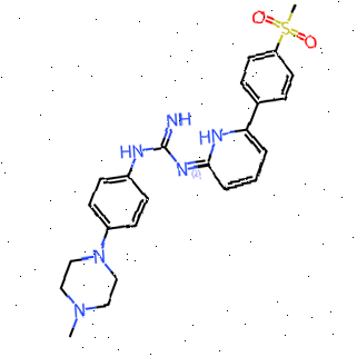 CN1CCN(c2ccc(NC(=N)/N=c3/cccc(-c4ccc(S(C)(=O)=O)cc4)[nH]3)cc2)CC1